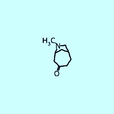 CN1CC2CCC(=O)CC1C2